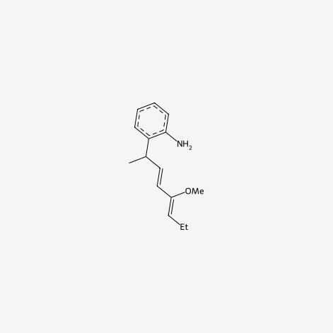 CC/C=C(/C=C/C(C)c1ccccc1N)OC